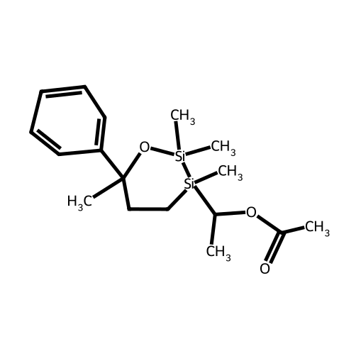 CC(=O)OC(C)[Si]1(C)CCC(C)(c2ccccc2)O[Si]1(C)C